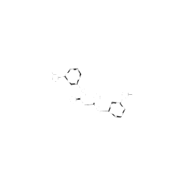 COc1cccc(SC(=O)CC(=O)Sc2cccc(OC)c2)c1